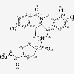 CN(C(=O)c1ccc(Cl)cc1)[C@@H]1CCN(C(=O)C2CCN(C(=O)OC(C)(C)C)CC2)C[C@H]1c1ccc(Cl)c(Cl)c1